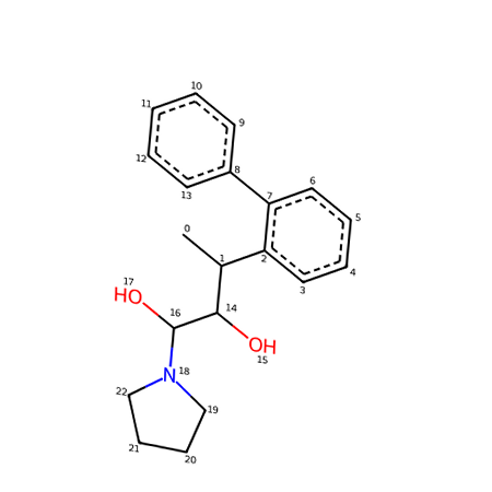 CC(c1ccccc1-c1ccccc1)C(O)C(O)N1CCCC1